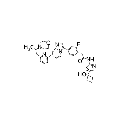 CC(Cc1cccc(-c2ccn3c(-c4ccc(CC(=O)Nc5ncc(C6(O)CCC6)s5)c(F)c4)cnc3c2)n1)N1CCOCC1